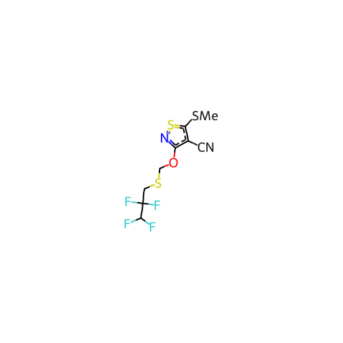 CSc1snc(OCSCC(F)(F)C(F)F)c1C#N